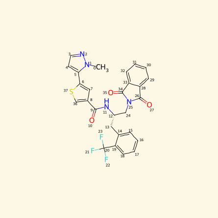 Cn1nccc1-c1cc(C(=O)N[C@@H](Cc2ccccc2C(F)(F)F)CN2C(=O)c3ccccc3C2=O)cs1